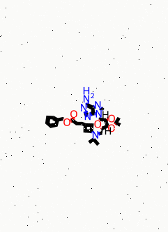 CC(C)N(C[C@H]1O[C@@H](n2cnc3c(N)ncnc32)[C@@H]2OC(C)(C)O[C@@H]21)C1CC(CCC(=O)OCc2ccccc2)C1